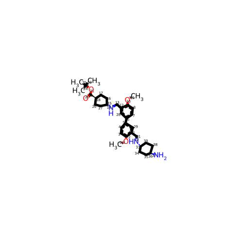 COc1ccc(-c2ccc(OC)c(CN[C@H]3CC[C@H](C(=O)OC(C)(C)C)CC3)c2)cc1CN[C@H]1CC[C@H](N)CC1